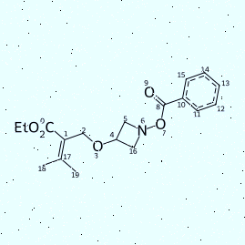 CCOC(=O)C(COC1CN(OC(=O)c2ccccc2)C1)=C(C)C